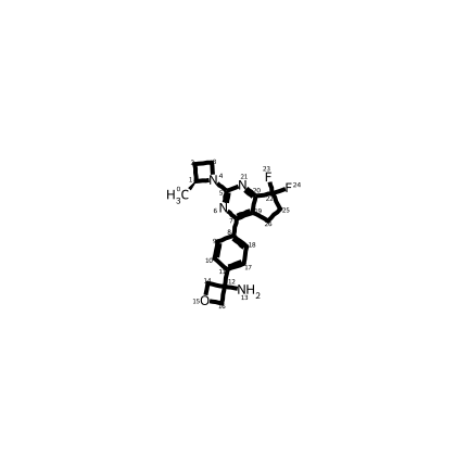 C[C@H]1CCN1c1nc(-c2ccc(C3(N)COC3)cc2)c2c(n1)C(F)(F)CC2